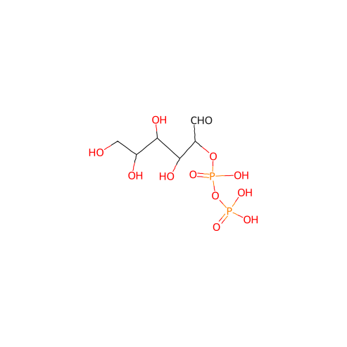 O=CC(OP(=O)(O)OP(=O)(O)O)C(O)C(O)C(O)CO